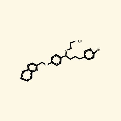 O=C(O)CCOC(CCCc1ccc(Br)cc1)c1ccc(OCc2ccc3ccccc3n2)cc1